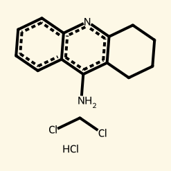 Cl.ClCCl.Nc1c2c(nc3ccccc13)CCCC2